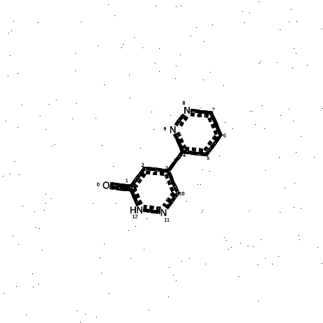 O=c1cc(-c2cccnn2)cn[nH]1